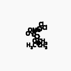 COC(=O)c1cc2c(OC(C)N(C)C)cccc2n1Cc1ccc(Cl)c(Cl)c1